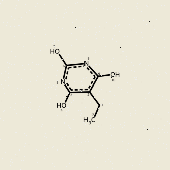 CCc1c(O)nc(O)nc1O